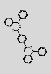 O=C(O[I+](c1ccccc1)c1ccccc1)c1ccc(C(=O)O[I+](c2ccccc2)c2ccccc2)cc1